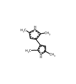 Cc1cc(-c2cc(C)[nH]c2C)c(C)[nH]1